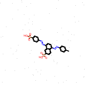 Cc1ccc(N=Nc2ccc(N=Nc3ccc(S(=O)(=O)O)cc3)c3cc(S(=O)(=O)O)ccc23)cc1